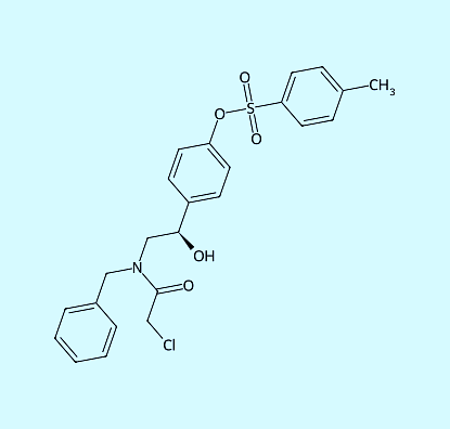 Cc1ccc(S(=O)(=O)Oc2ccc([C@@H](O)CN(Cc3ccccc3)C(=O)CCl)cc2)cc1